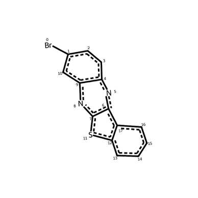 Brc1ccc2nc3c(nc2c1)sc1ccccc13